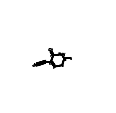 CC1CC=C(C#N)C(=O)N1